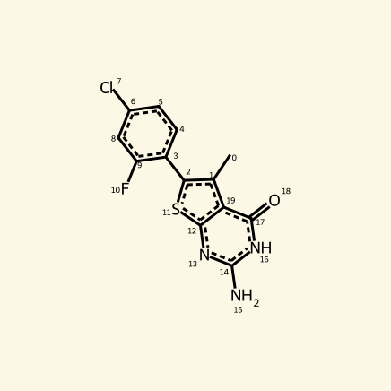 Cc1c(-c2ccc(Cl)cc2F)sc2nc(N)[nH]c(=O)c12